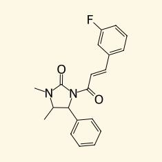 CC1C(c2ccccc2)N(C(=O)C=Cc2cccc(F)c2)C(=O)N1C